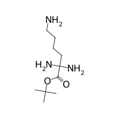 CC(C)(C)OC(=O)C(N)(N)CCCCN